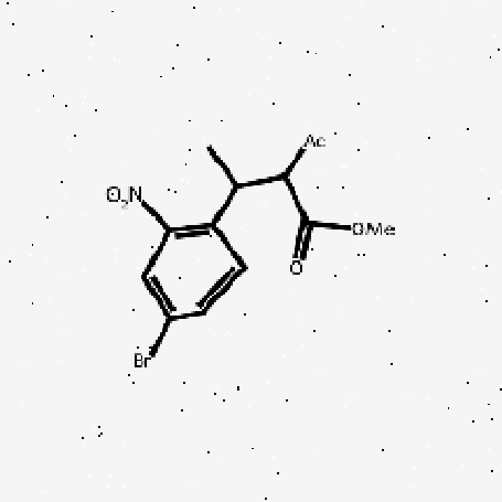 COC(=O)C(C(C)=O)C(C)c1ccc(Br)cc1[N+](=O)[O-]